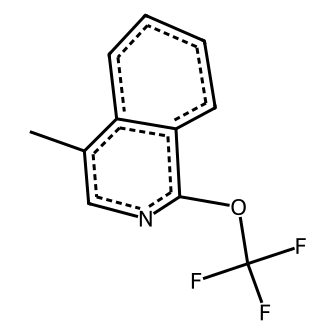 Cc1cnc(OC(F)(F)F)c2ccccc12